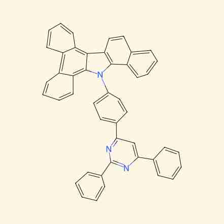 c1ccc(-c2cc(-c3ccc(-n4c5c6ccccc6ccc5c5c6ccccc6c6ccccc6c54)cc3)nc(-c3ccccc3)n2)cc1